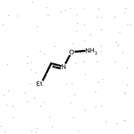 CCC=NON